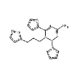 NC1=CC(n2cccn2)N(CCCn2ccnc2)C(c2cccs2)=N1